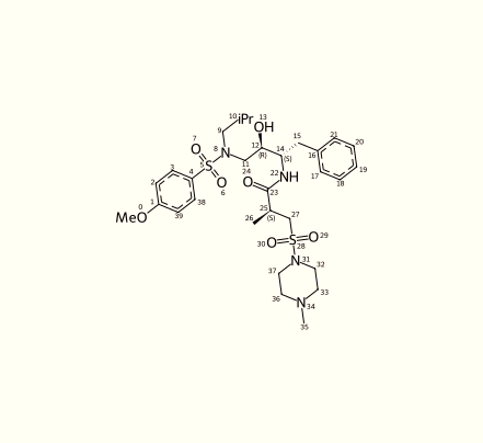 COc1ccc(S(=O)(=O)N(CC(C)C)C[C@@H](O)[C@H](Cc2ccccc2)NC(=O)[C@H](C)CS(=O)(=O)N2CCN(C)CC2)cc1